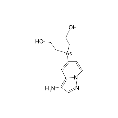 Nc1cnn2ccc([As](CCO)CCO)cc12